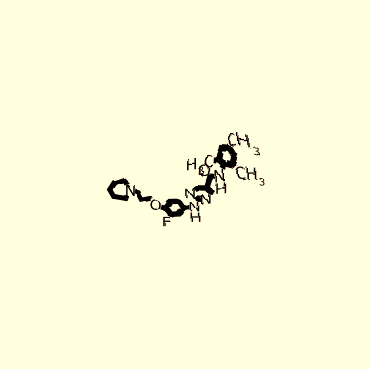 Cc1cc(C)c(NC(=O)c2cnc(Nc3ccc(OCCCN4CCCCC4)c(F)c3)nc2)c(C)c1